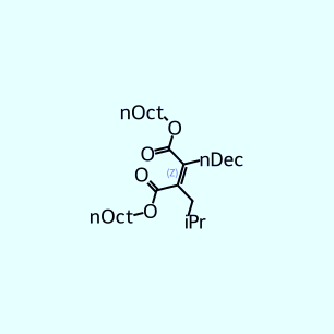 CCCCCCCCCC/C(C(=O)OCCCCCCCC)=C(\CC(C)C)C(=O)OCCCCCCCC